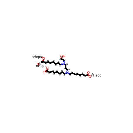 CCCCCCCOC(=O)CCCCCCCN(CCCCCCCC(=O)OCCCCCCC)CCCN(CCO)CCCCCCCC(=C=O)OCCCCCCC